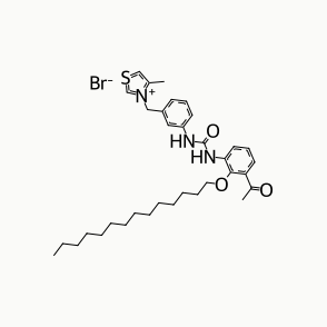 CCCCCCCCCCCCCCOc1c(NC(=O)Nc2cccc(C[n+]3cscc3C)c2)cccc1C(C)=O.[Br-]